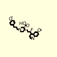 COc1ccc(CCCN2CC[C@@H](CCC(F)c3ccnc4ccc(OC)cc34)[C@@H](C(=O)O)C2)cc1